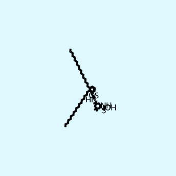 CCCCCCCCCCCCCCCCCCc1cccc(OC(=S)NCC2(C)CC(NC(O)=S)CC(C)(C)C2)c1CCCCCCCCCCCCCCCCCC